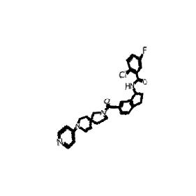 O=C(NC1CCc2ccc(C(=O)N3CCC4(CCN(c5ccncc5)CC4)C3)cc21)c1cc(F)ccc1Cl